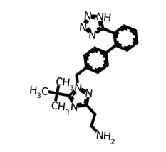 CC(C)(C)c1nc(CCN)nn1Cc1ccc(-c2ccccc2-c2nnn[nH]2)cc1